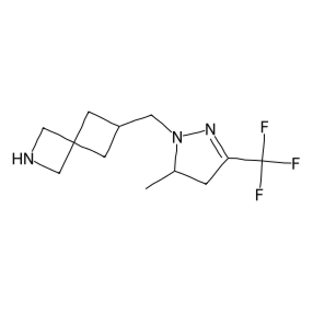 CC1CC(C(F)(F)F)=NN1CC1CC2(CNC2)C1